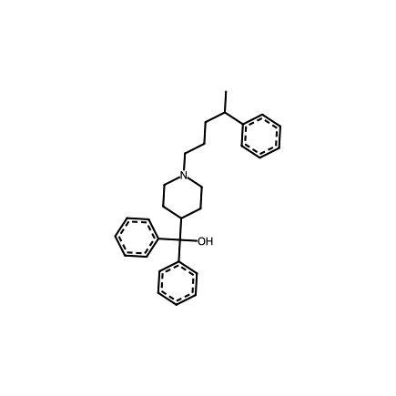 CC(CCCN1CCC(C(O)(c2ccccc2)c2ccccc2)CC1)c1ccccc1